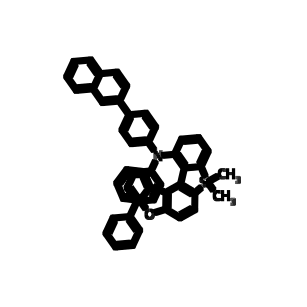 C[Si]1(C)c2cccc(N(c3ccc(-c4ccccc4)cc3)c3ccc(-c4ccc5ccccc5c4)cc3)c2-c2c1ccc1oc3ccccc3c21